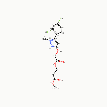 COC(=O)CCOC(=O)COc1cc(-c2ccc(F)cc2F)n(C)n1